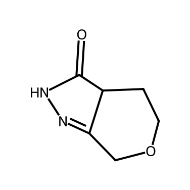 O=C1NN=C2COCCC12